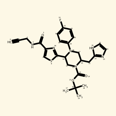 C#CCNC(=O)c1csc(C2CN(C(=O)OC(C)(C)C)C(Cc3ncc[nH]3)CN2c2ccc(F)cc2)n1